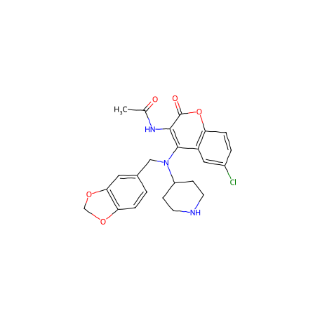 CC(=O)Nc1c(N(Cc2ccc3c(c2)OCO3)C2CCNCC2)c2cc(Cl)ccc2oc1=O